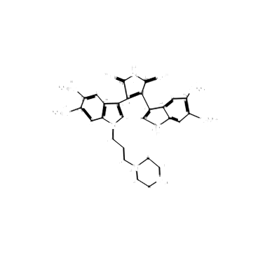 COc1cc2[nH]cc(C3=C(c4cn(CCCN5CCOCC5)c5cc(OC)c(OC)cc45)C(=O)NC3=O)c2cc1OC